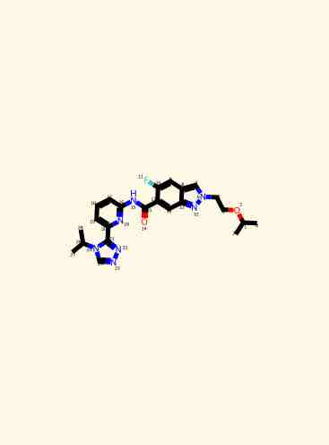 CC(C)OCCn1cc2cc(F)c(C(=O)Nc3cccc(-c4nncn4C(C)C)n3)cc2n1